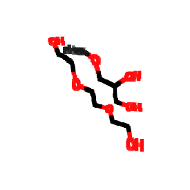 CCCCCCOCC(O)CO.OCCOCCOCCO